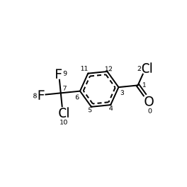 O=C(Cl)c1ccc(C(F)(F)Cl)cc1